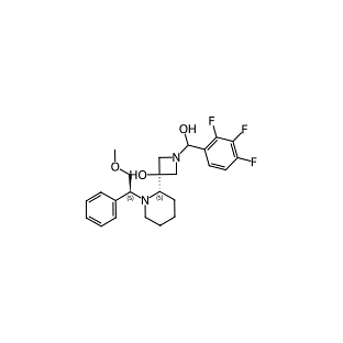 COC[C@H](c1ccccc1)N1CCCC[C@H]1C1(O)CN(C(O)c2ccc(F)c(F)c2F)C1